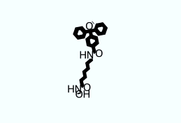 COC(c1ccccc1)(c1ccccc1)c1ccc(C(=O)NCCCCCCC(=O)NO)cc1